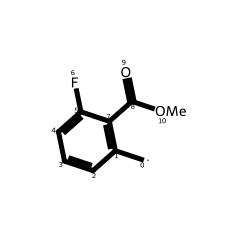 [CH2]c1cccc(F)c1C(=O)OC